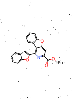 CC(C)(C)OC(=O)c1cc2oc3ccccc3c2c(-c2cc3ccccc3o2)n1